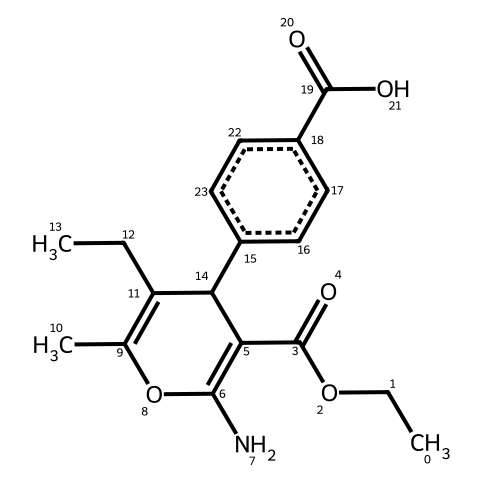 CCOC(=O)C1=C(N)OC(C)=C(CC)C1c1ccc(C(=O)O)cc1